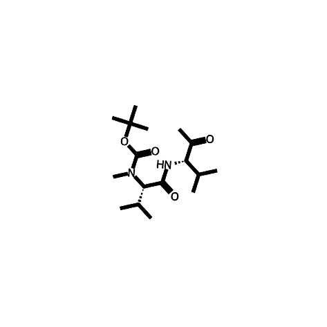 CC(=O)[C@@H](NC(=O)[C@H](C(C)C)N(C)C(=O)OC(C)(C)C)C(C)C